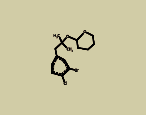 CC(C)(Cc1ccc(Cl)c(Br)c1)OC1CCCCO1